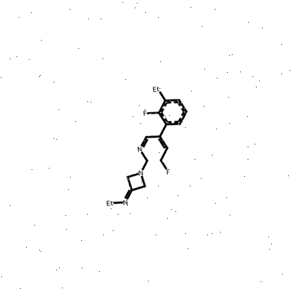 CCN=C1CN(C/N=C\C(=C/CF)c2cccc(CC)c2F)C1